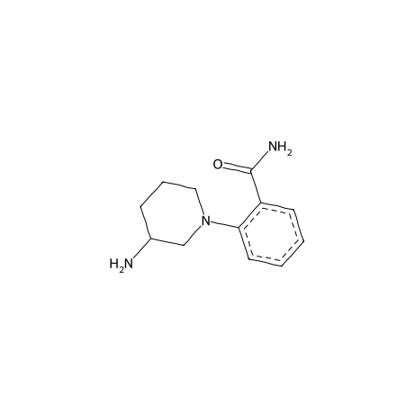 NC(=O)c1ccccc1N1CCCC(N)C1